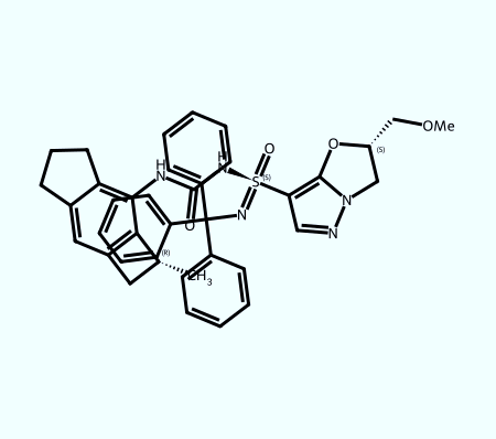 COC[C@@H]1Cn2ncc([S@@](=O)(=NC(c3ccccc3)(c3ccccc3)c3ccccc3)NC(=O)Nc3c4c(cc5c3[C@H](C)C5)CCC4)c2O1